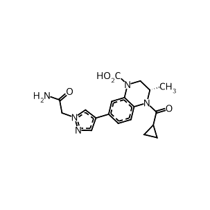 C[C@H]1CN(C(=O)O)c2cc(-c3cnn(CC(N)=O)c3)ccc2N1C(=O)C1CC1